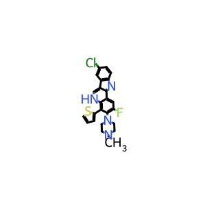 CN1CCN(c2c(F)cc3c4nc5ccc(Cl)cc5c-4c[nH]c3c2-c2cccs2)CC1